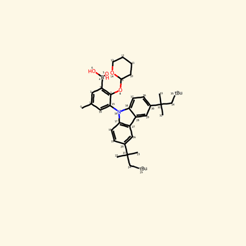 Cc1cc(B(O)O)c(OC2CCCCO2)c(-n2c3ccc(C(C)(C)CC(C)(C)C)cc3c3cc(C(C)(C)CC(C)(C)C)ccc32)c1